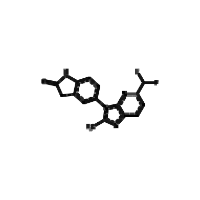 O=C1Cc2cc(-n3c(C(F)(F)F)nc4ccc(C(F)F)nc43)ccc2N1